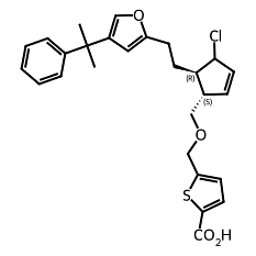 CC(C)(c1ccccc1)c1coc(CC[C@H]2C(Cl)C=C[C@@H]2COCc2ccc(C(=O)O)s2)c1